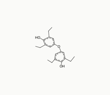 CCc1cc(Oc2cc(CC)c(O)c(CC)c2)cc(CC)c1O